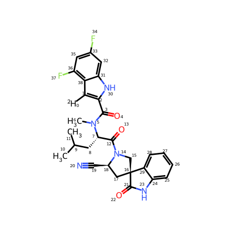 [2H]c1c(C(=O)N(C)[C@@H](CC(C)C)C(=O)N2C[C@]3(C[C@H]2C#N)C(=O)Nc2ccccc23)[nH]c2cc(F)cc(F)c12